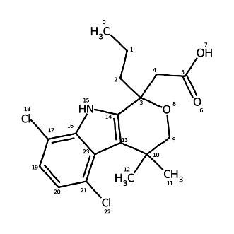 CCCC1(CC(=O)O)OCC(C)(C)c2c1[nH]c1c(Cl)ccc(Cl)c21